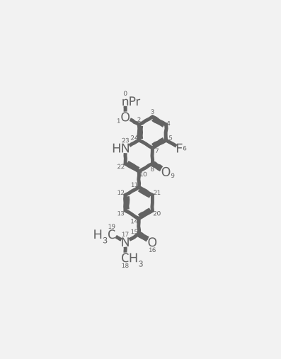 CCCOc1ccc(F)c2c(=O)c(-c3ccc(C(=O)N(C)C)cc3)c[nH]c12